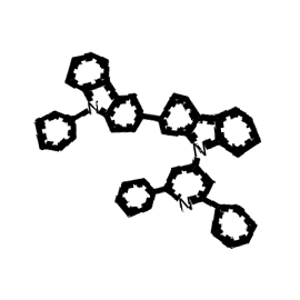 c1ccc(-c2cc(-n3c4ccccc4c4ccc(-c5ccc6c(c5)c5ccccc5n6-c5ccccc5)cc43)cc(-c3ccccc3)n2)cc1